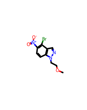 COCCn1ncc2c(Br)c([N+](=O)[O-])ccc21